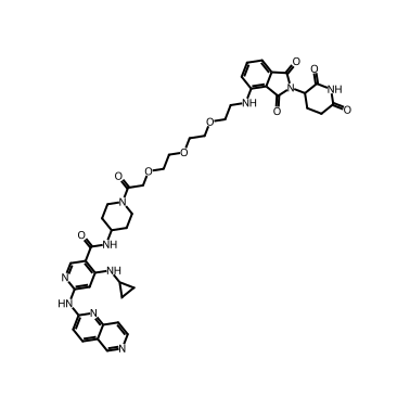 O=C1CCC(N2C(=O)c3cccc(NCCOCCOCCOCC(=O)N4CCC(NC(=O)c5cnc(Nc6ccc7cnccc7n6)cc5NC5CC5)CC4)c3C2=O)C(=O)N1